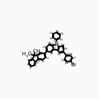 CC1(C)c2ccccc2-c2ccc(-c3ccc4c(c3)c3cc(-c5ccc(Br)cc5)ccc3n4-c3ccccc3)cc21